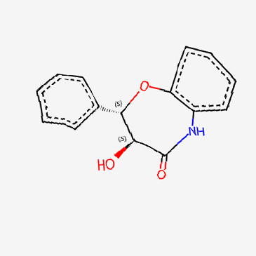 O=C1Nc2ccccc2O[C@@H](c2ccccc2)[C@@H]1O